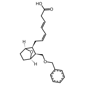 O=C(O)CC=C/C=C\C[C@H]1[C@@H](COCc2ccccc2)[C@H]2CC[C@@H]1O2